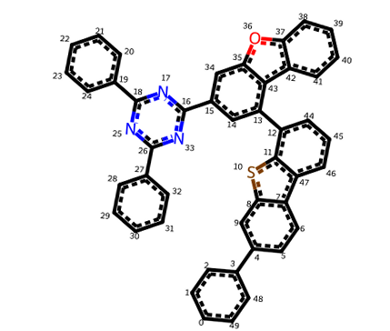 c1ccc(-c2ccc3c(c2)sc2c(-c4cc(-c5nc(-c6ccccc6)nc(-c6ccccc6)n5)cc5oc6ccccc6c45)cccc23)cc1